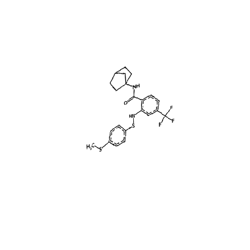 CSc1ccc(SNc2cc(C(F)(F)F)ccc2C(=O)NC23CCC(CC2)C3)cc1